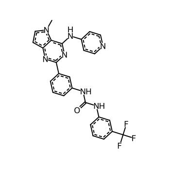 Cn1ccc2nc(-c3cccc(NC(=O)Nc4cccc(C(F)(F)F)c4)c3)nc(Nc3ccncc3)c21